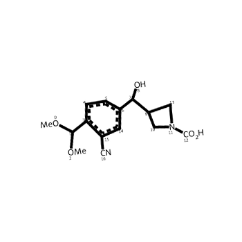 COC(OC)c1ccc(C(O)C2CN(C(=O)O)C2)cc1C#N